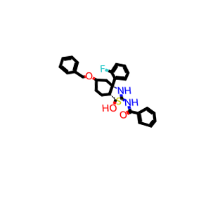 O=C(NC(=S)N[C@@]1(c2ccccc2F)CC(OCc2ccccc2)CC[C@H]1CO)c1ccccc1